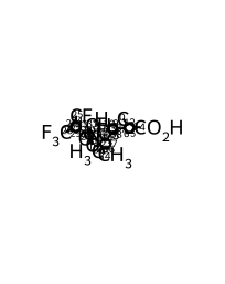 Cc1cc(C(=O)O)ccc1-c1ccc(F)c(C2=C(CN3C(=O)O[C@H](c4cc(C(F)(F)F)cc(C(F)(F)F)c4)[C@@H]3C)CC(C)(C)CC2)c1